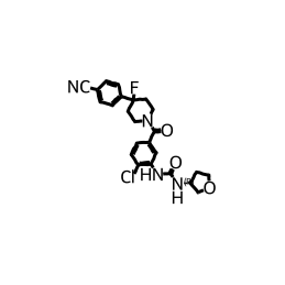 N#Cc1ccc(C2(F)CCN(C(=O)c3ccc(Cl)c(NC(=O)N[C@@H]4CCOC4)c3)CC2)cc1